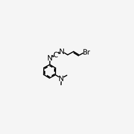 CN(C)c1cccc(N=C=NCC=CBr)c1